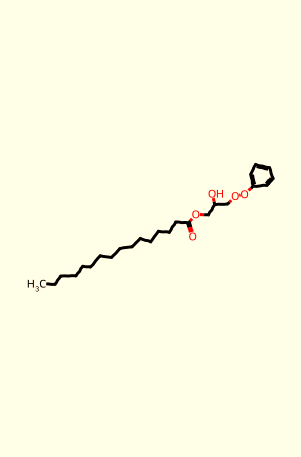 CCCCCCCCCCCCCCCC(=O)OCC(O)COOc1ccccc1